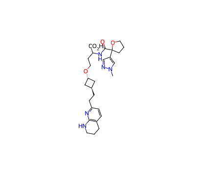 Cn1cc(C2(C(=O)NC(CCO[C@H]3C[C@H](CCc4ccc5c(n4)NCCC5)C3)C(=O)O)CCCO2)cn1